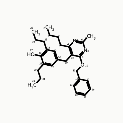 CCCCc1nc(C)nc(OCc2ccccc2)c1Cc1cc(CCC)c(O)c(CCC)c1